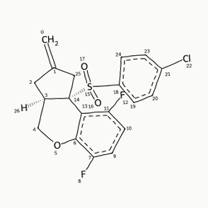 C=C1C[C@@H]2COc3c(F)ccc(F)c3[C@]2(S(=O)(=O)c2ccc(Cl)cc2)C1